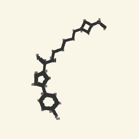 COC1CN(CCCCCNC(=O)c2cc(-c3ccc(F)cc3)on2)C1